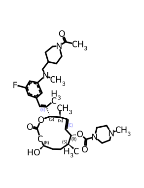 CC(=O)N1CCC(CN(C)c2cc(F)cc(/C=C(\C)[C@H]3OC(=O)C[C@H](O)CC[C@H](C)[C@@H](OC(=O)N4CCN(C)CC4)/C=C/[C@@H]3C)c2)CC1